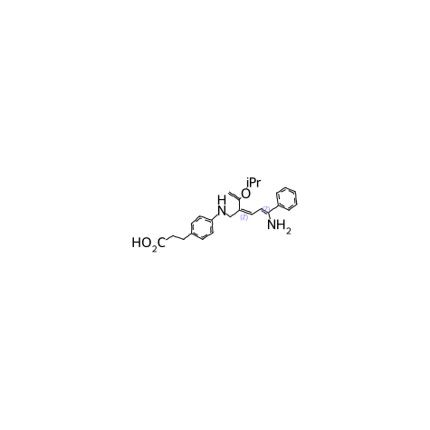 C=C(OC(C)C)/C(=C\C=C(/N)c1ccccc1)CNc1ccc(CCC(=O)O)cc1